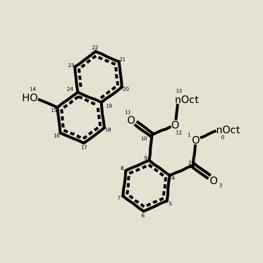 CCCCCCCCOC(=O)c1ccccc1C(=O)OCCCCCCCC.Oc1cccc2ccccc12